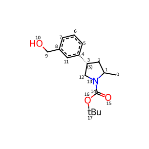 CC1C[C@@H](c2cccc(CO)c2)CN1C(=O)OC(C)(C)C